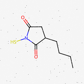 CCCCC1CC(=O)N(S)C1=O